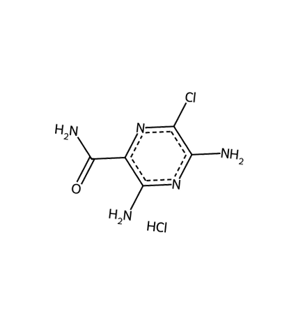 Cl.NC(=O)c1nc(Cl)c(N)nc1N